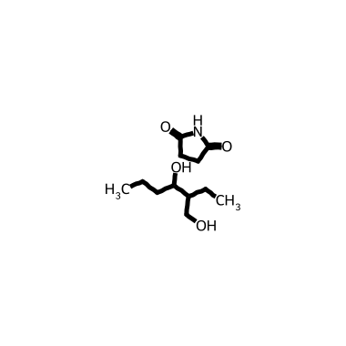 CCCC(O)C(CC)CO.O=C1CCC(=O)N1